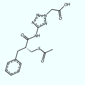 CC(=O)SC[C@H](Cc1ccccc1)C(=O)Nc1nnn(CC(=O)O)n1